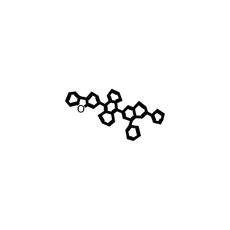 c1ccc(-c2ccc3cc(-c4c5ccccc5c(-c5ccc6c(c5)oc5ccccc56)c5ccccc45)cc(-c4ccccc4)c3c2)cc1